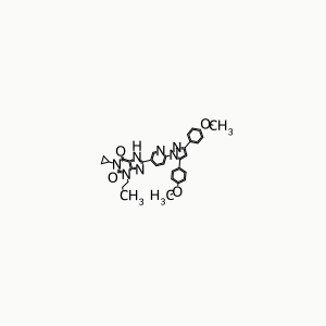 CCCn1c(=O)n(C2CC2)c(=O)c2[nH]c(-c3ccc(-n4nc(-c5ccc(OC)cc5)cc4-c4ccc(OC)cc4)nc3)nc21